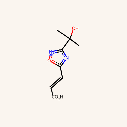 CC(C)(O)c1noc(C=CC(=O)O)n1